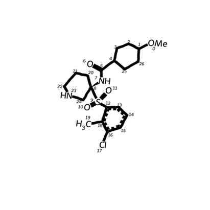 COC1CCC(C(=O)N[C@]2(S(=O)(=O)c3cccc(Cl)c3C)CCCNC2)CC1